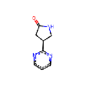 O=C1CC(c2ncccn2)CN1